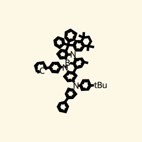 Cc1cc2c3c(c1)N1c4cc5c(cc4C(c4ccccc4)(c4ccccc4)c4cccc(c41)B3N(c1ccc(-c3ccccc3)cc1)c1ccc(N(c3ccc(-c4ccccc4)cc3)c3ccc(C(C)(C)C)cc3)cc1-2)C(C)(C)CCC5(C)C